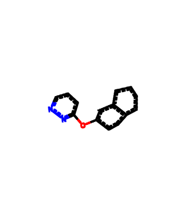 [c]1c(Oc2cccnn2)ccc2ccccc12